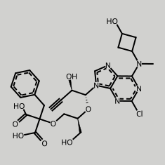 C#C[C@@H](O)[C@@H](O[C@@H](CO)COC(Cc1ccccc1)(C(=O)O)C(=O)O)n1cnc2c(N(C)C3CC(O)C3)nc(Cl)nc21